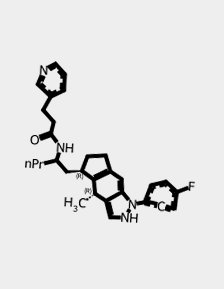 CCCC(C[C@H]1CCC2=C1[C@@H](C)C1=CNN(c3ccc(F)cc3)C1=C2)NC(=O)CCc1cccnc1